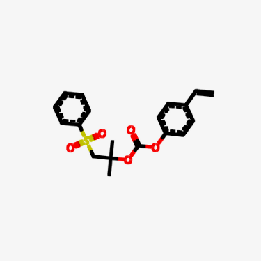 C=Cc1ccc(OC(=O)OC(C)(C)CS(=O)(=O)c2ccccc2)cc1